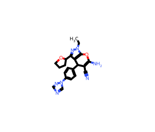 CCn1nc(C2CCCO2)c2c1OC(N)=C(C#N)C2c1ccc(-n2cncn2)cc1